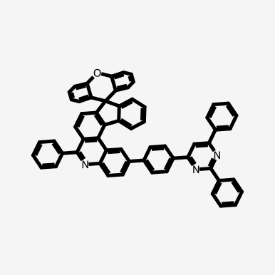 c1ccc(-c2cc(-c3ccc(-c4ccc5nc(-c6ccccc6)c6ccc7c(c6c5c4)-c4ccccc4C74c5ccccc5Oc5ccccc54)cc3)nc(-c3ccccc3)n2)cc1